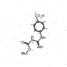 CC(C)(C)OC(=O)NC(=N)Nc1ccc(C(=O)O)cc1